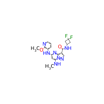 CNc1cc(Nc2cccnc2OC)nc2c(C(=O)NC3CC(F)(F)C3)cnn12